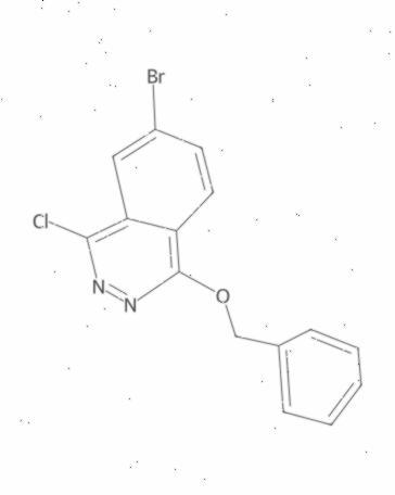 Clc1nnc(OCc2ccccc2)c2ccc(Br)cc12